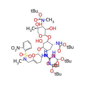 CN(C(=O)OC(C)(C)C)[C@@H]1[C@@H](O)[C@@H](O[C@@H]2[C@@H](O)[C@H](O[C@H]3OC(CN(C)S(=O)(=O)c4ccccc4[N+](=O)[O-])=CC[C@H]3N/C(=N/C(=O)OC(C)(C)C)NC(=O)OC(C)(C)C)[C@@H](NC(=O)OC(C)(C)C)C[C@H]2NC(=O)OC(C)(C)C)OC[C@]1(C)O